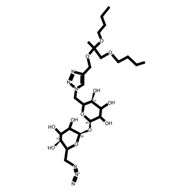 CCCCOCC(C)(OCCCC)OCc1cn(CC2O[C@H](O[C@H]3OC(CN=[N+]=[N-])[C@@H](O)C(O)C3O)C(O)C(O)[C@@H]2O)nn1